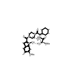 CN[C@@H](C)C(=O)N[C@H](C(=O)N1CCN(C(=O)c2cc3cc(F)c(OC)cc3n2C)C[C@H]1C)C1CCCCC1